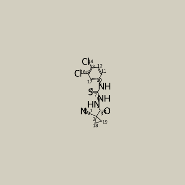 N#CC1(C(=O)NNC(=S)Nc2ccc(Cl)c(Cl)c2)CC1